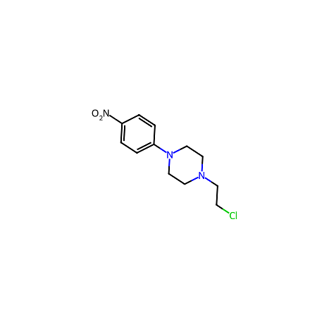 O=[N+]([O-])c1ccc(N2CCN(CCCl)CC2)cc1